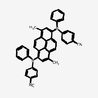 [C-]#[N+]c1ccc(N(c2ccccc2)c2cc(C)c3ccc4c(N(c5ccccc5)c5ccc(C#N)cc5)cc(C)c5ccc2c3c54)cc1